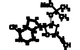 C#C[C@@H]1C[C@@H](OC(C)(C)OC)[C@H](n2ccc3c(Cl)ncnc32)O1